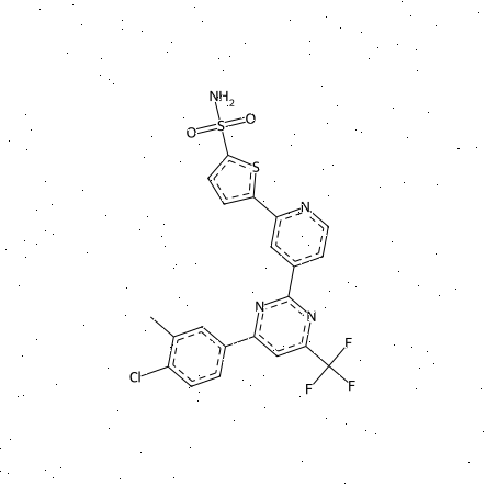 Cc1cc(-c2cc(C(F)(F)F)nc(-c3ccnc(-c4ccc(S(N)(=O)=O)s4)c3)n2)ccc1Cl